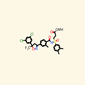 COC(=O)CCS(=O)(=NC(=O)c1ccc(C2=NOC(c3cc(Cl)cc(Cl)c3)(C(F)(F)F)C2)cc1C)c1ccc(C)c(C)c1